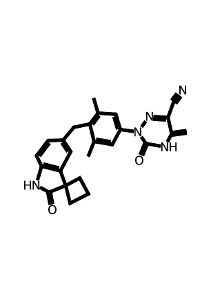 C=C1NC(=O)N(c2cc(C)c(Cc3ccc4c(c3)C3(CCC3)C(=O)N4)c(C)c2)N=C1C#N